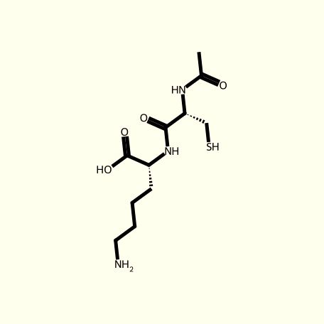 CC(=O)N[C@H](CS)C(=O)N[C@H](CCCCN)C(=O)O